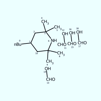 CCCCC1CC(C)(C)NC(C)(C)C1.O=CO.O=CO.O=CO.O=CO